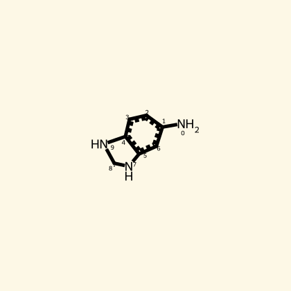 Nc1ccc2c(c1)N[CH]N2